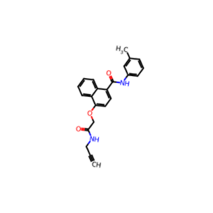 C#CCNC(=O)COc1ccc(C(=O)Nc2cccc(C)c2)c2ccccc12